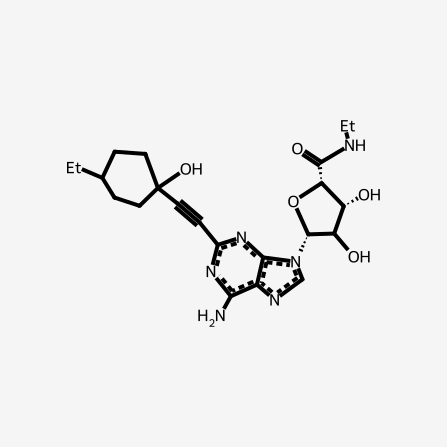 CCNC(=O)[C@H]1O[C@@H](n2cnc3c(N)nc(C#CC4(O)CCC(CC)CC4)nc32)C(O)[C@H]1O